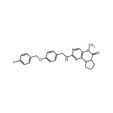 CN1C(=O)C2CCCN2c2nc(NCc3ccc(OCc4ccc(F)cc4)cc3)ncc21